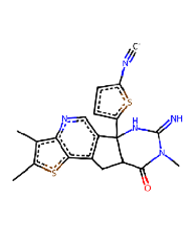 [C-]#[N+]c1ccc(C23NC(=N)N(C)C(=O)C2Cc2c3cnc3c(C)c(C)sc23)s1